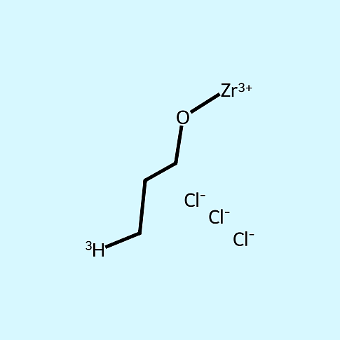 [3H]CCC[O][Zr+3].[Cl-].[Cl-].[Cl-]